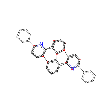 c1ccc(-c2ccc(-c3cccc(-c4ccccc4)c3-c3c(-c4ccccc4)cccc3-c3ccc(-c4ccccc4)nc3-c3ccccc3)c(-c3ccccc3)n2)cc1